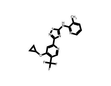 Cc1cccnc1Nc1nc(-c2cc(OC3CC3)c(C(F)(F)F)cn2)ns1